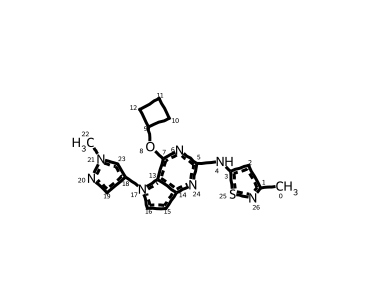 Cc1cc(Nc2nc(OC3CCC3)c3c(ccn3-c3cnn(C)c3)n2)sn1